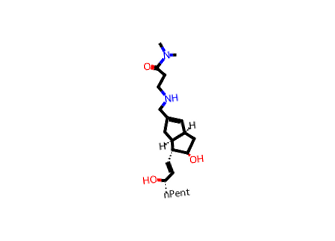 CCCCC[C@H](O)/C=C/[C@@H]1[C@H]2CC(CNCCC(=O)N(C)C)=C[C@H]2C[C@H]1O